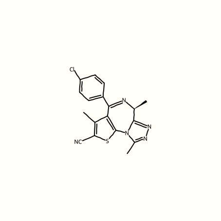 Cc1c(C#N)sc2c1C(c1ccc(Cl)cc1)=N[C@@H](C)c1nnc(C)n1-2